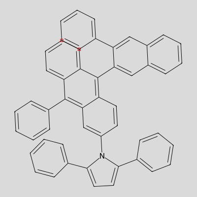 c1ccc(-c2cc3ccccc3cc2-c2c3ccccc3c(-c3ccccc3)c3cc(-n4c(-c5ccccc5)ccc4-c4ccccc4)ccc23)cc1